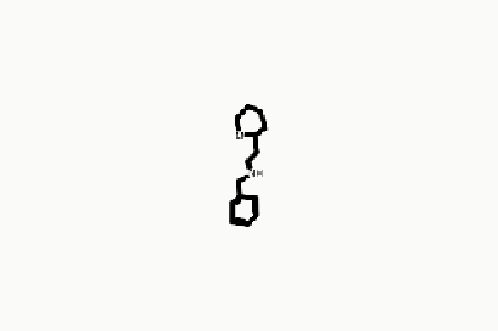 c1ccc(CNCCC2CCCCO2)cc1